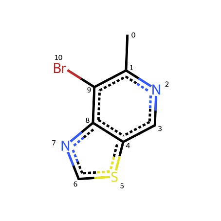 Cc1ncc2scnc2c1Br